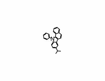 CC(C)c1ccc2c(c1)c1ccc3ccccc3c1n2-c1ccccc1